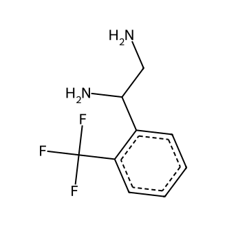 NCC(N)c1ccccc1C(F)(F)F